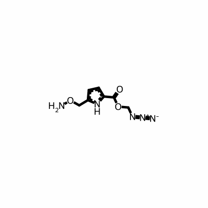 [N-]=[N+]=NCOC(=O)c1ccc(CON)[nH]1